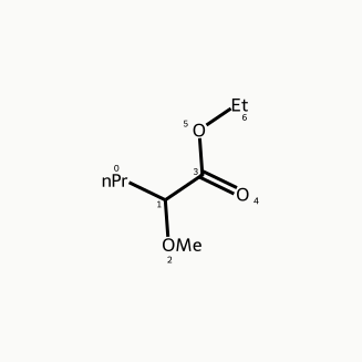 CCCC(OC)C(=O)OCC